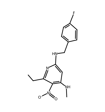 CCc1nc(NCc2ccc(F)cc2)cc(NC)c1[N+](=O)[O-]